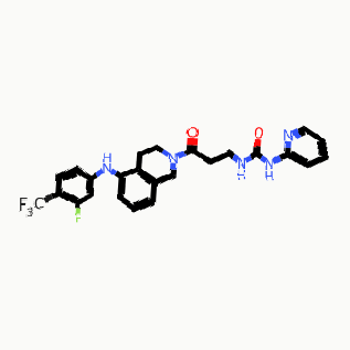 O=C(NCCC(=O)N1CCc2c(cccc2Nc2ccc(C(F)(F)F)c(F)c2)C1)Nc1ccccn1